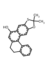 CC1(C)Oc2cc3c4c(cc(O)c3cc2S1)CCc1ccccc1-4